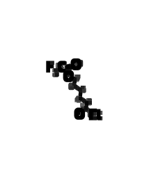 CCC(=O)CCCCCOC(=O)C(F)(F)F